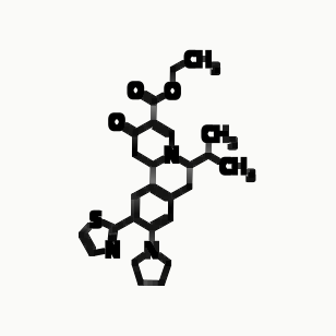 CCOC(=O)C1=CN2C(CC1=O)c1cc(-c3nccs3)c(N3CCCC3)cc1CC2C(C)C